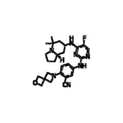 CC1(C)CC(Nc2nc(Nc3ccc(N4CC5(COC5)C4)c(C#N)c3)ncc2F)C[C@@H]2CCCN21